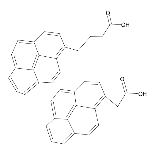 O=C(O)CCCc1ccc2ccc3cccc4ccc1c2c34.O=C(O)Cc1ccc2ccc3cccc4ccc1c2c34